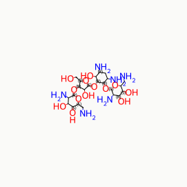 NCC1O[C@@H](O[C@@H]2C(N)C[C@@H](N)C(O)[C@H]2O[C@@H]2O[C@H](CO)[C@H](O[C@H]3O[C@@H](CN)[C@@H](O)C(O)C3N)C2O)C(N)[C@@H](O)[C@@H]1O